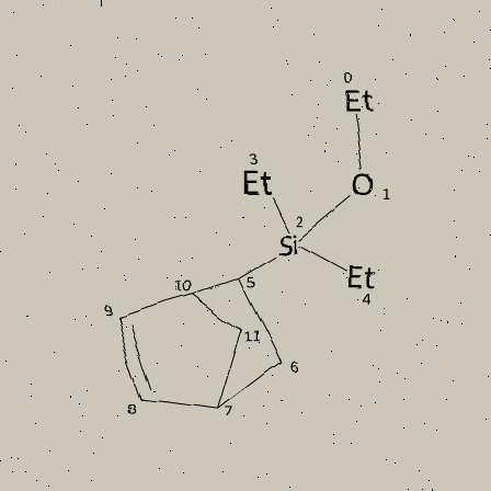 CCO[Si](CC)(CC)C1CC2C=CC1C2